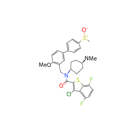 CN[C@H]1CC[C@@H](N(Cc2cc(-c3ccc([S+](C)[O-])cc3)ccc2OC)C(=O)c2sc3c(F)ccc(F)c3c2Cl)CC1